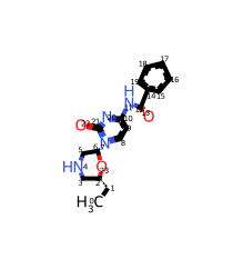 CC[C@@H]1CNC[C@H](n2ccc(NC(=O)c3ccccc3)nc2=O)O1